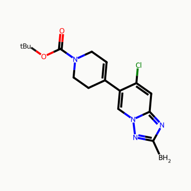 Bc1nc2cc(Cl)c(C3=CCN(C(=O)OC(C)(C)C)CC3)cn2n1